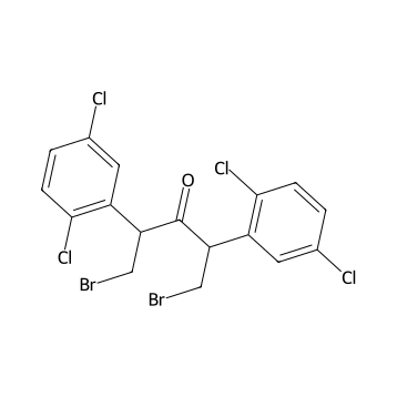 O=C(C(CBr)c1cc(Cl)ccc1Cl)C(CBr)c1cc(Cl)ccc1Cl